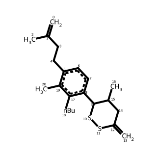 C=C(C)CCc1ccc(C2SSC(=C)CC2C)c(CCCC)c1C